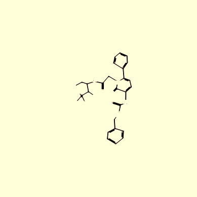 CCC(NC(=O)Cn1c(-c2ccccc2)ccc(NC(=O)OCc2ccccc2)c1=O)C(O)C(F)(F)F